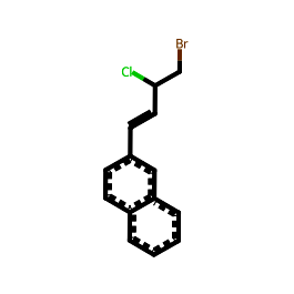 ClC(C=Cc1ccc2ccccc2c1)CBr